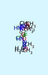 COC(=O)N[C@H](C(=O)N1C[C@@H](C)C[C@H]1c1nc(-c2ccc(-c3cc(Cl)c(NC(=O)c4ccc(N5CCN(C(=O)C(C)(C)C)C[C@H]5C)nc4)cc3OC(F)(F)F)cc2)c[nH]1)C(C)C